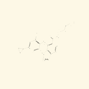 O=C(NOCCO)c1ccc2cn[nH]c2c1Nc1ccc(C2CC2)cc1F